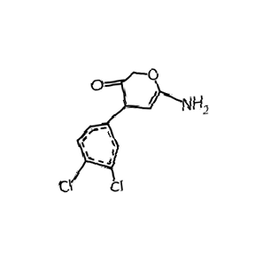 NC1=CC(c2ccc(Cl)c(Cl)c2)C(=O)CO1